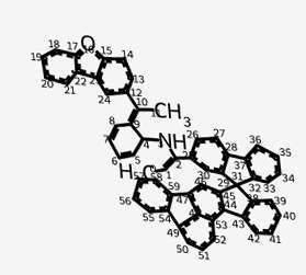 C/C=C(\NC1C=CC=C/C1=C(/C)c1ccc2oc3ccccc3c2c1)c1ccc2c(c1)C1(c3ccccc3-2)c2ccccc2-c2c1cc1c3c(cccc23)-c2ccccc2-1